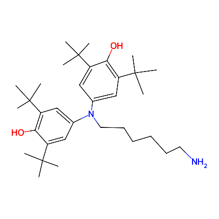 CC(C)(C)c1cc(N(CCCCCCN)c2cc(C(C)(C)C)c(O)c(C(C)(C)C)c2)cc(C(C)(C)C)c1O